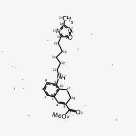 COC(=O)C1=Cc2cccc(NCCCCCc3nc(C)no3)c2CC1